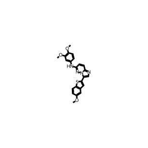 COc1ccc2sc(-c3cnc4ccc(Nc5ccc(OC)c(OC)c5)nn34)cc2c1